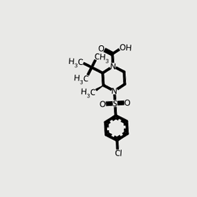 C[C@H]1C(C(C)(C)C)N(C(=O)O)CCN1S(=O)(=O)c1ccc(Cl)cc1